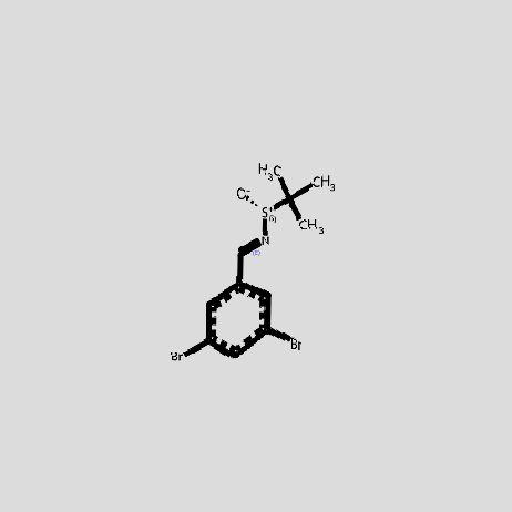 CC(C)(C)[S@@+]([O-])/N=C/c1cc(Br)cc(Br)c1